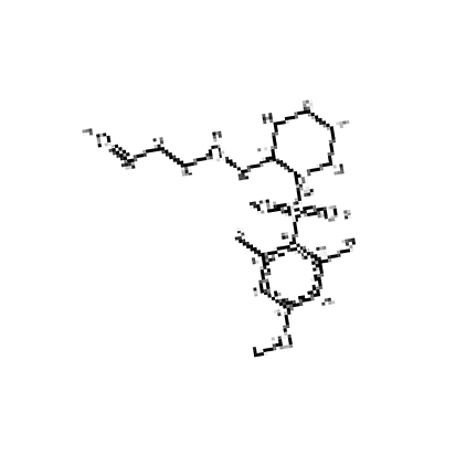 COc1cc(C)c(S(=O)(=O)N2CCCCC2COCCC=O)c(C)c1